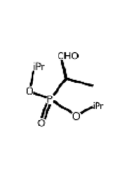 CC(C)OP(=O)(OC(C)C)C(C)C=O